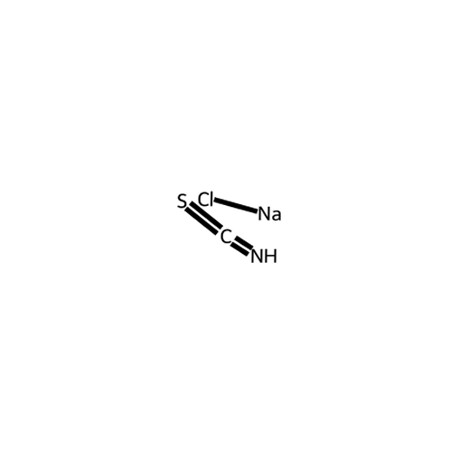 N=C=S.[Na][Cl]